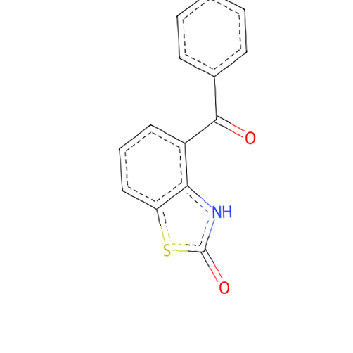 O=C(c1ccccc1)c1cccc2sc(=O)[nH]c12